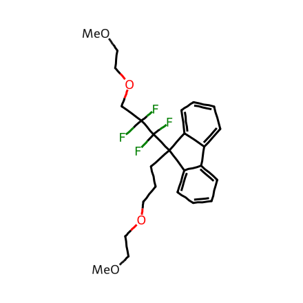 COCCOCCCC1(C(F)(F)C(F)(F)COCCOC)c2ccccc2-c2ccccc21